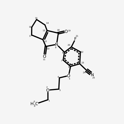 CCOCCOc1cc(N2C(=O)C3=C(CCCC3)C2=O)c(F)cc1C#N